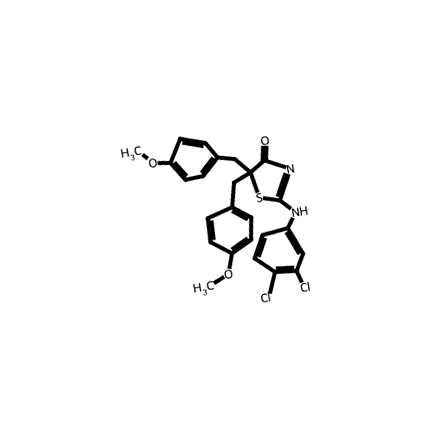 COc1ccc(CC2(Cc3ccc(OC)cc3)SC(Nc3ccc(Cl)c(Cl)c3)=NC2=O)cc1